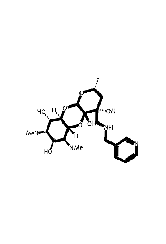 CN[C@@H]1[C@H](O)[C@H](NC)[C@H]2OC3(O)C(O[C@@H]2[C@H]1O)O[C@H](C)C[C@@]3(O)CNCc1cccnc1